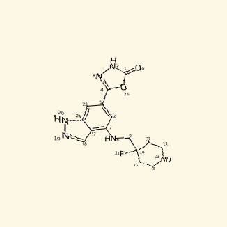 O=c1[nH]nc(-c2cc(NCC3(F)CCNCC3)c3cn[nH]c3c2)o1